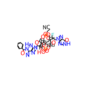 C=Nc1c(/C(=N\C)NC(=O)c2ccccc2)ncn1C1OC2COP(=O)(OCCC#N)O[C@@H]3C(COP(=O)(O)O[C@@H]1[C@@H]2O[Si](C)(C)C(C)(C)C)OC(n1cnc2c(=O)[nH]cnc21)[C@@H]3F